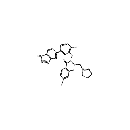 O=C(c1ccc(F)cc1F)N(CCN1CCCC1)Cc1cc(-c2ccc3[nH]nnc3c2)ccc1F